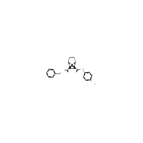 O=C(Nc1ccc(Br)cc1)C1C(C(=O)OCc2ccccc2)C2CCC1C21CC1